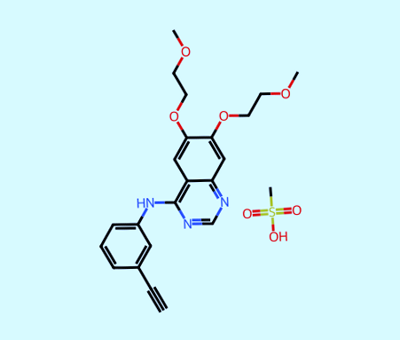 C#Cc1cccc(Nc2ncnc3cc(OCCOC)c(OCCOC)cc23)c1.CS(=O)(=O)O